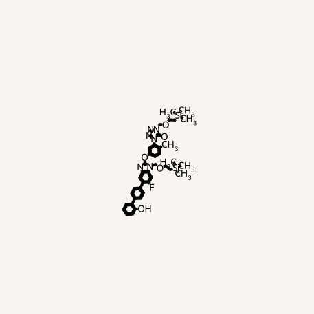 Cc1ccc(Oc2nc3cc(-c4ccc(-c5ccccc5O)cc4)c(F)cc3n2COCC[Si](C)(C)C)cc1-n1nnn(COCC[Si](C)(C)C)c1=O